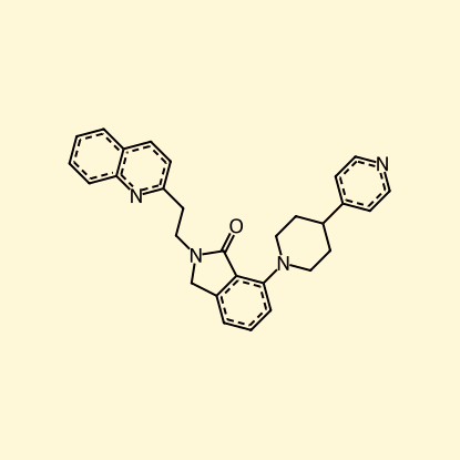 O=C1c2c(cccc2N2CCC(c3ccncc3)CC2)CN1CCc1ccc2ccccc2n1